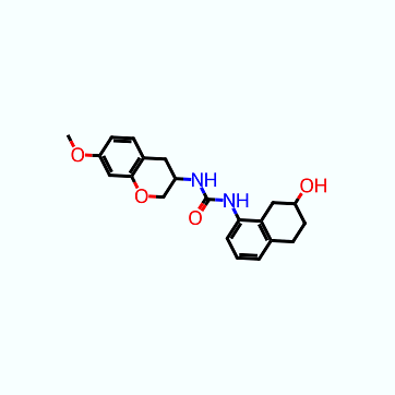 COc1ccc2c(c1)OCC(NC(=O)Nc1cccc3c1CC(O)CC3)C2